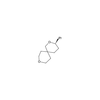 CC(C)[C@H]1CCC2(CCOCC2)CO1